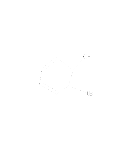 CC(C)(C)C1C=CC=C[C]1C(F)(F)F